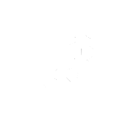 CCOC(=O)Cn1ccc2c(Nc3nc(Cl)cc4nc[nH]c(=O)c34)cccc21